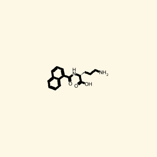 NCCC[C@@H](NC(=O)c1cccc2ccccc12)C(=O)O